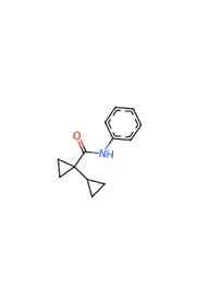 O=C(Nc1ccccc1)C1(C2CC2)CC1